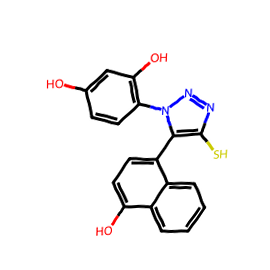 Oc1ccc(-n2nnc(S)c2-c2ccc(O)c3ccccc23)c(O)c1